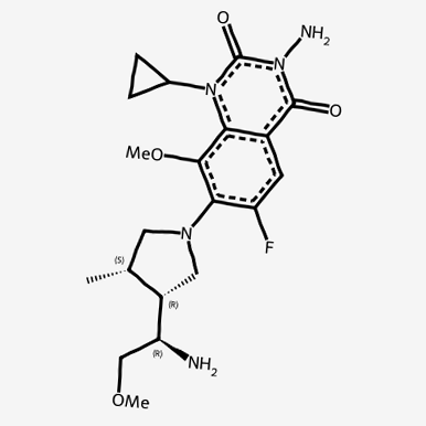 COC[C@H](N)[C@H]1CN(c2c(F)cc3c(=O)n(N)c(=O)n(C4CC4)c3c2OC)C[C@H]1C